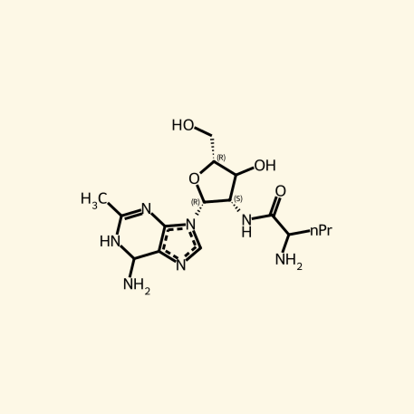 CCCC(N)C(=O)N[C@H]1C(O)[C@@H](CO)O[C@H]1n1cnc2c1N=C(C)NC2N